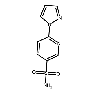 NS(=O)(=O)c1ccc(-n2cccn2)nc1